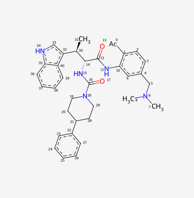 CC(=O)c1ccc(CN(C)C)cc1NC(=O)[C@H](NC(=O)N1CCC(c2ccccc2)CC1)[C@H](C)c1c[nH]c2ccccc12